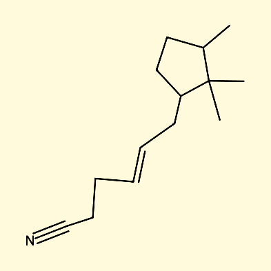 CC1CCC(CC=CCCC#N)C1(C)C